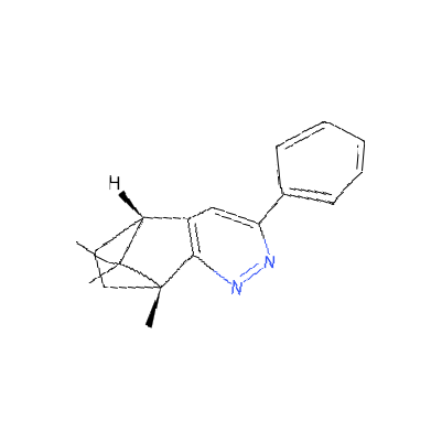 CC1(C)[C@@H]2CC[C@@]1(C)c1nnc(-c3ccccc3)cc12